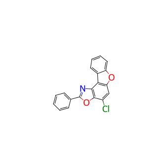 Clc1cc2oc3ccccc3c2c2nc(-c3ccccc3)oc12